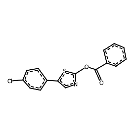 O=C(Oc1ncc(-c2ccc(Cl)cc2)s1)c1ccccc1